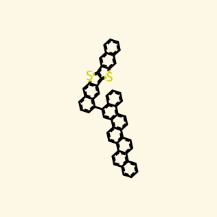 c1ccc2cc3c(cc2c1)sc1c2cc4c(-c5cc6c(ccc7c6ccc6c8ccc9ccccc9c8ccc67)c6ccccc56)cccc4cc2sc31